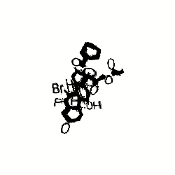 CCC(=O)OCC(=O)[C@]1(OC(=O)c2ccccc2)[C@H](C)C[C@H]2[C@@H]3[C@H](Br)[C@@H](F)C4=CC(=O)C=C[C@]4(C)[C@@]3(Cl)[C@@H](O)C[C@@]21C